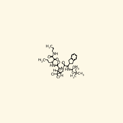 C=CCNC(=O)C(=O)[C@H](CCC)NC(=O)[C@@H]1[C@@H]2[C@H](CN1C(=O)[C@@H](NC(=O)OC(C)(C)C)C1Cc3ccccc3C1)C2(Cl)Cl